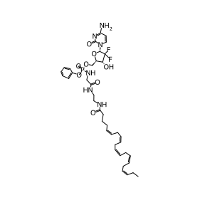 CC/C=C\C/C=C\C/C=C\C/C=C\C/C=C\CCCC(=O)NCCNC(=O)CNP(=O)(OC[C@H]1O[C@@H](n2ccc(N)nc2=O)C(F)(F)[C@@H]1O)Oc1ccccc1